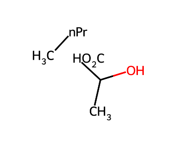 CC(O)C(=O)O.CCCC